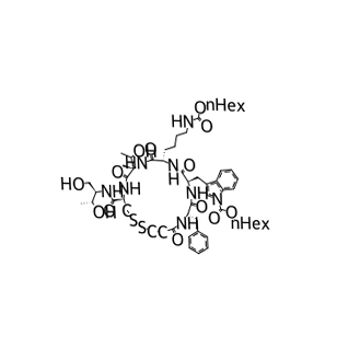 CCCCCCOC(=O)NCCCC[C@@H]1NC(=O)[C@@H](Cc2cn(C(=O)OCCCCCC)c3ccccc23)NC(=O)[C@H](Cc2ccccc2)NC(=O)CCSSC[C@@H](C(=O)N[C@H](CO)[C@@H](C)O)NC(=O)[C@](C)(C(C)O)NC1=O